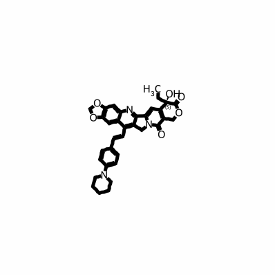 CC[C@@]1(O)C(=O)OCc2c1cc1n(c2=O)Cc2c-1nc1cc3c(cc1c2C=Cc1ccc(N2CCCCC2)cc1)OCO3